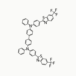 FC(F)(F)c1ccc2nc(-c3ccc(N(c4ccccc4)c4ccc(-c5ccc(N(c6ccccc6)c6ccc(-c7nc8ccc(C(F)(F)F)cc8s7)cc6)cc5)cc4)cc3)sc2c1